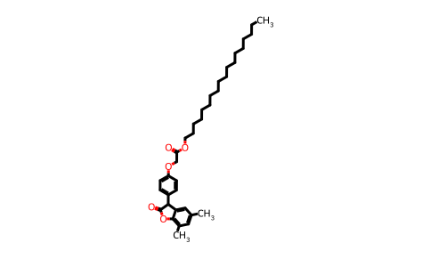 CCCCCCCCCCCCCCCCCCOC(=O)COc1ccc(C2C(=O)Oc3c(C)cc(C)cc32)cc1